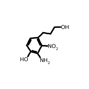 Nc1c(O)ccc(CCCO)c1[N+](=O)[O-]